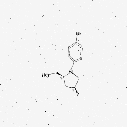 OC[C@@H]1C[C@H](F)CN1c1ccc(Br)cc1